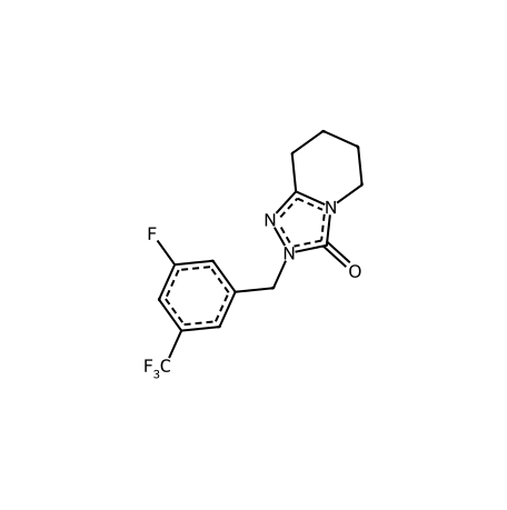 O=c1n(Cc2cc(F)cc(C(F)(F)F)c2)nc2n1CCCC2